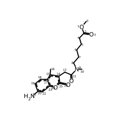 COC(=O)CCCCCN(C)C(=O)Cc1c(C)c2ccc(N)cc2oc1=O